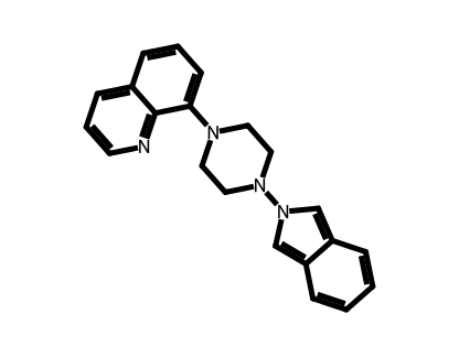 c1ccc2cn(N3CCN(c4cccc5cccnc45)CC3)cc2c1